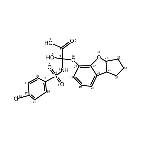 O=C(O)C(O)(NS(=O)(=O)c1ccc(Cl)cc1)Oc1cccc2c1OC1CCCC21